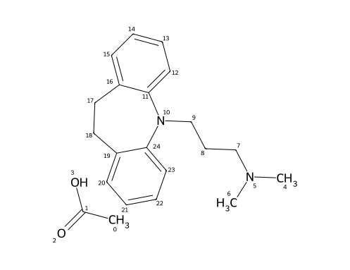 CC(=O)O.CN(C)CCCN1c2ccccc2CCc2ccccc21